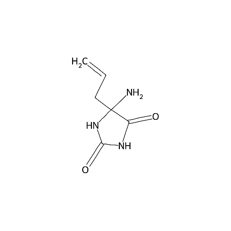 C=CCC1(N)NC(=O)NC1=O